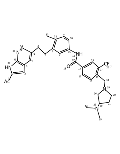 CC(=O)c1cc2cc(CCc3cc(NC(=O)c4ccc(CN5CCC(N(C)C)C5)c(C(F)(F)F)c4)ccc3C)cnc2[nH]1